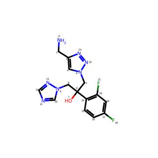 NCc1cn(CC(O)(Cn2cncn2)c2ccc(F)cc2F)nn1